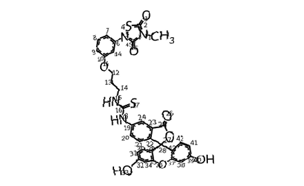 Cn1c(=O)sn(-c2cccc(OCCCNC(=S)Nc3ccc4c(c3)C(=O)OC43c4ccc(O)cc4Oc4cc(O)ccc43)c2)c1=O